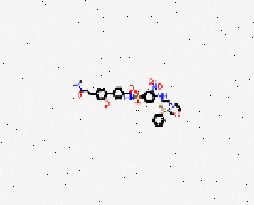 COc1cc(CCC(=O)N(C)C)ccc1-c1ccc(C(=O)NS(=O)(=O)c2ccc(N[C@@H](CSc3ccccc3)CN3CCOCC3)c([N+](=O)[O-])c2)cc1